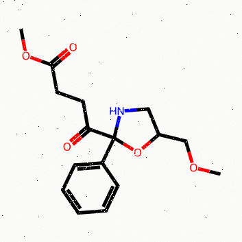 COCC1CNC(C(=O)CCC(=O)OC)(c2ccccc2)O1